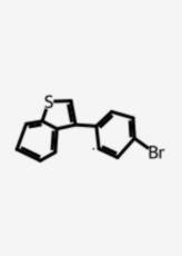 Brc1c[c]c(-c2csc3ccccc23)cc1